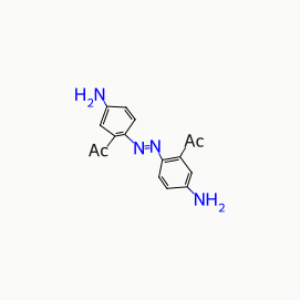 CC(=O)c1cc(N)ccc1N=Nc1ccc(N)cc1C(C)=O